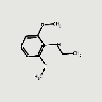 CCPc1c(OC)cccc1OC